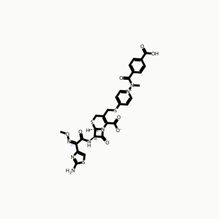 CO/N=C(\C(=O)N[C@@H]1C(=O)N2C(C(=O)[O-])=C(CSc3cc[n+](N(C)C(=O)c4ccc(C(=O)O)cc4)cc3)CS[C@H]12)c1csc(N)n1